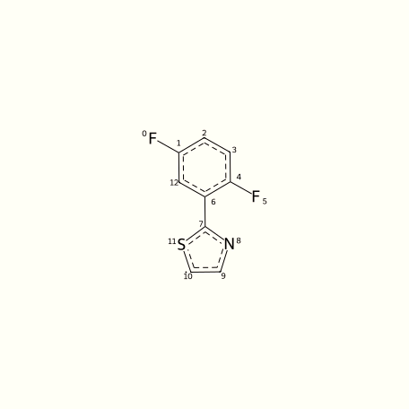 Fc1ccc(F)c(-c2nc[c]s2)c1